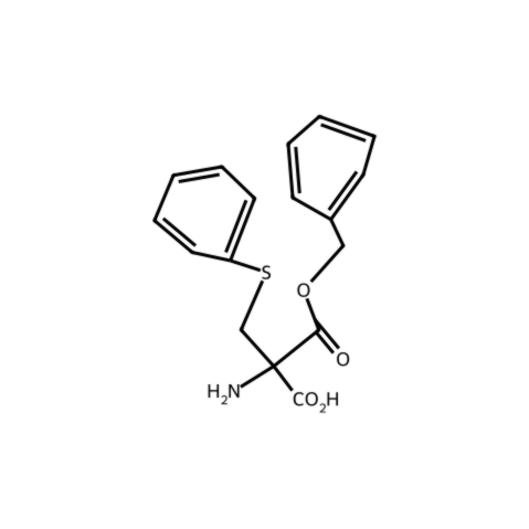 NC(CSc1ccccc1)(C(=O)O)C(=O)OCc1ccccc1